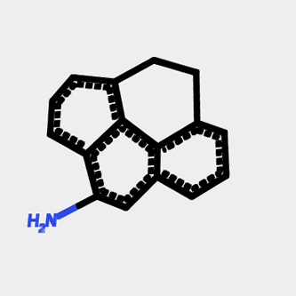 Nc1cc2cccc3c2c2c(cccc12)CC3